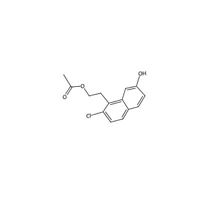 CC(=O)OCCc1c(Cl)ccc2ccc(O)cc12